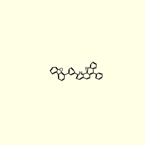 c1ccc(-c2c3ccccc3nc3c2ccc2ccc(-c4cccc(-c5cccc6c5oc5ccccc56)c4)nc23)cc1